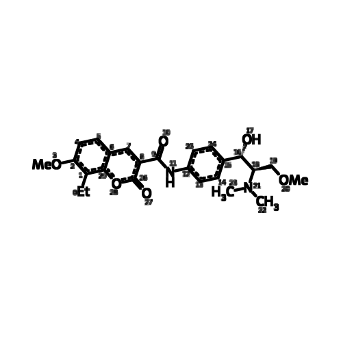 CCc1c(OC)ccc2cc(C(=O)Nc3ccc([C@H](O)[C@@H](COC)N(C)C)cc3)c(=O)oc12